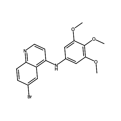 COc1cc(Nc2ccnc3ccc(Br)cc23)cc(OC)c1OC